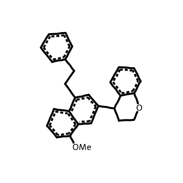 COc1cccc2c(CCc3ccccc3)cc(C3CCOc4ccccc43)cc12